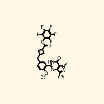 CCCc1nn(C)c2c(=O)[nH]c(-c3cc(CC4CC(C(=O)Oc5c(F)c(F)c(F)c(F)c5F)C4)ccc3OCC)nc12